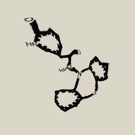 O=C(NN1c2ccccc2Sc2ccccc21)c1ccc(=O)[nH]c1